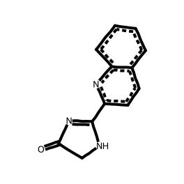 O=C1CNC(c2ccc3ccccc3n2)=N1